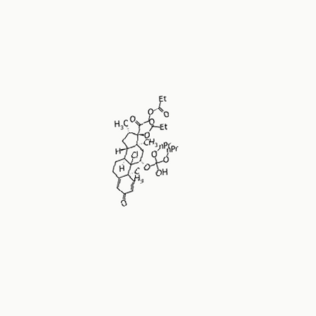 CCCOC(O)(OCCC)O[C@H]1C[C@@]2(C)[C@@H](C[C@H](C)[C@]2(OC(=O)CC)C(=O)COC(=O)CC)[C@@H]2CCC3=CC(=O)C=C[C@]3(C)C12Cl